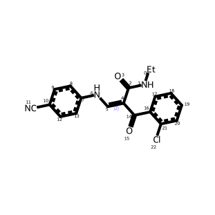 CCNC(=O)/C(=C\Nc1ccc(C#N)cc1)C(=O)c1ccccc1Cl